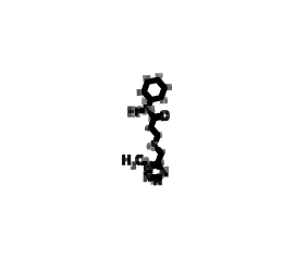 CCN(C(=O)CCSCc1nnnn1C)C1CCCCC1